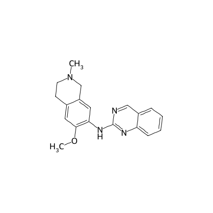 COc1cc2c(cc1Nc1ncc3ccccc3n1)CN(C)CC2